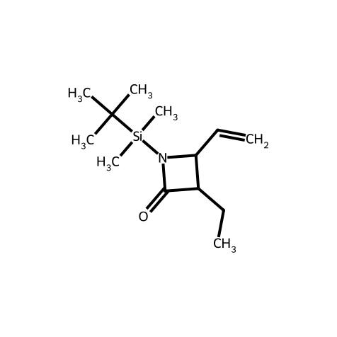 C=CC1C(CC)C(=O)N1[Si](C)(C)C(C)(C)C